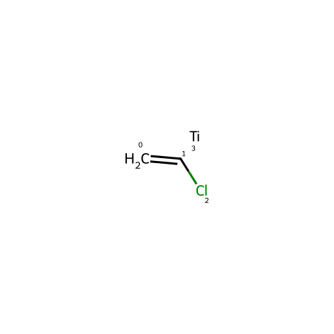 C=CCl.[Ti]